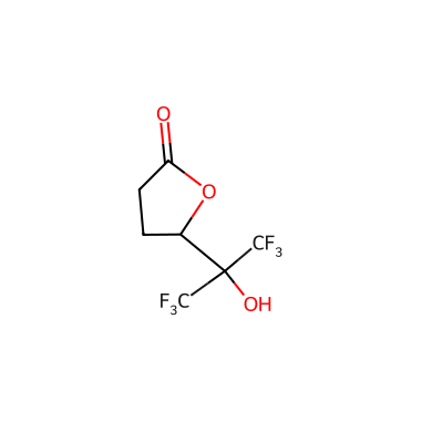 O=C1CCC(C(O)(C(F)(F)F)C(F)(F)F)O1